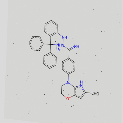 N=C(NNc1ccccc1C(N)(c1ccccc1)c1ccccc1)c1ccc(N2CCOc3cc(C=O)[nH]c32)cc1